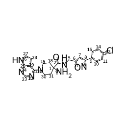 NC1(C(=O)NCc2cc(-c3ccc(Cl)cc3)no2)CCN(c2ncnc3[nH]ccc23)CC1